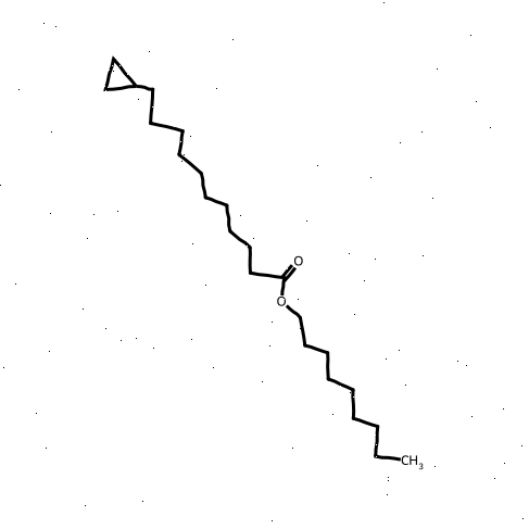 CCCCCCCCCOC(=O)CCCCCCCCCCC1CC1